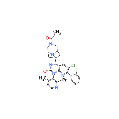 C=CC(=O)N1CC2CC3(c4nc(=O)n(-c5c(C)ccnc5C(C)C)c5nc(-c6ccccc6F)c(Cl)cc45)CC(C1)N23